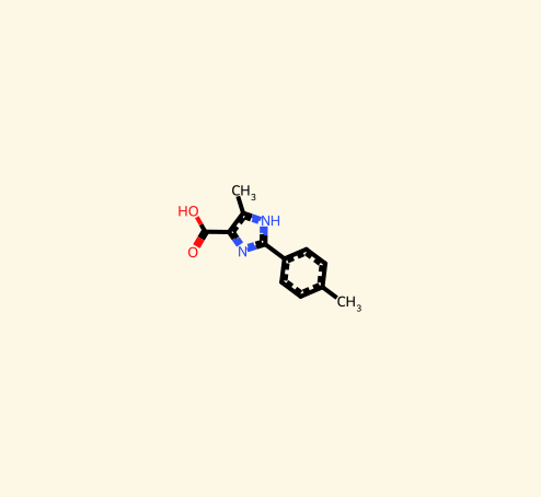 Cc1ccc(-c2nc(C(=O)O)c(C)[nH]2)cc1